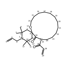 C=CCN1C(C)(C)CC2(CC1(C)C)OCCCCCCCCCCCN(C(=O)C=C)C2=O